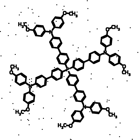 COc1ccc(N(c2ccc(OC)cc2)c2ccc(-c3ccc([P+](c4ccc(-c5ccc(N(c6ccc(OC)cc6)c6ccc(OC)cc6)cc5)cc4)(c4ccc(-c5ccc(N(c6ccc(OC)cc6)c6ccc(OC)cc6)cc5)cc4)c4ccc(-c5ccc(N(c6ccc(OC)cc6)c6ccc(OC)cc6)cc5)cc4)cc3)cc2)cc1